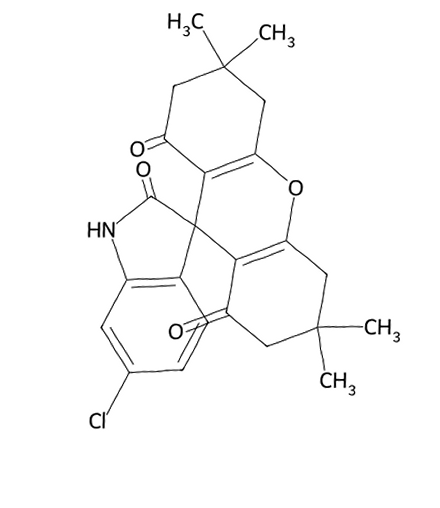 CC1(C)CC(=O)C2=C(C1)OC1=C(C(=O)CC(C)(C)C1)C21C(=O)Nc2cc(Cl)ccc21